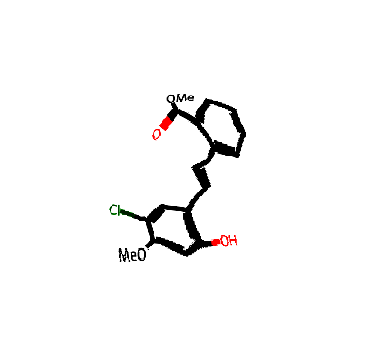 COC(=O)c1ccccc1C=Cc1cc(Cl)c(OC)cc1O